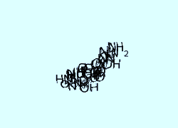 COP(=O)(OC[C@@H]1C[C@@H](O)[C@H](n2cnc3c(=O)[nH]c(N)nc32)O1)O[C@@H]1C(COP(=O)(O)O)O[C@@H](n2cnc3c(N)ncnc32)[C@@H]1O